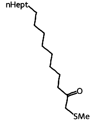 CCCCCCCCCCCCCCCC(=O)CSC